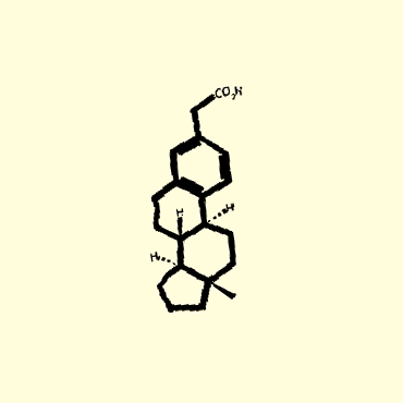 C[C@@]12CCC[C@H]1[C@@H]1CCc3cc(CC(=O)O)ccc3[C@H]1CC2